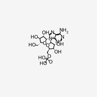 Nc1ncnc2c1N=C[N+]2([C@@H]1O[C@H](COP(=O)(O)O)[C@@H](O)[C@H]1O)[C@@H]1O[C@H](CO)[C@@H](O)[C@@H]1O